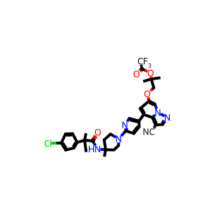 CC1(NC(=O)C(C)(C)c2ccc(Cl)cc2)CCN(c2ccc(-c3cc(OCC(C)(C)OC(=O)C(F)(F)F)cn4ncc(C#N)c34)cn2)CC1